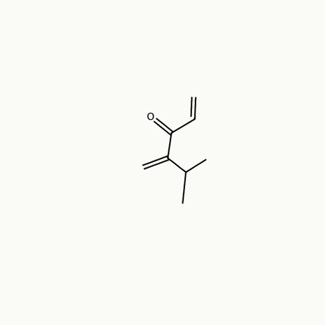 C=CC(=O)C(=C)C(C)C